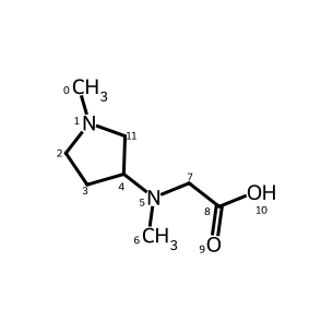 CN1CCC(N(C)CC(=O)O)C1